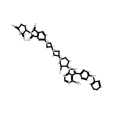 Nc1ncnc2c1c(-c1ccc(OC3=CCCC=C3)cc1)nn2C1CCN(C2CN(C3CN(c4ccc5c(c4)C(=O)N(C4CCC(=O)NC4=O)C5=O)C3)C2)CC1F